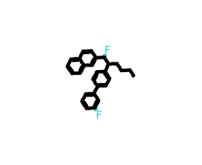 CCCCC(c1ccc(-c2cccc(F)c2)cc1)C(F)c1ccc2ccccc2c1